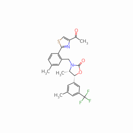 CC(=O)c1csc(-c2ccc(C)cc2CN2C(=O)O[C@H](c3cc(C)cc(C(F)(F)F)c3)[C@@H]2C)n1